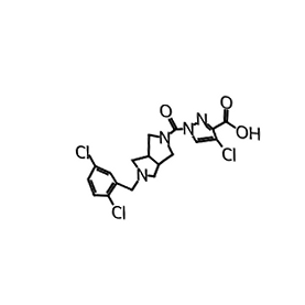 O=C(O)c1nn(C(=O)N2CC3CN(Cc4cc(Cl)ccc4Cl)CC3C2)cc1Cl